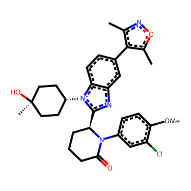 COc1ccc(N2C(=O)CCC[C@H]2c2nc3cc(-c4c(C)noc4C)ccc3n2[C@H]2CC[C@](C)(O)CC2)cc1Cl